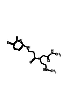 CNCCN(CC(=O)NC)C(=O)CCNc1ccc(=O)[nH]n1